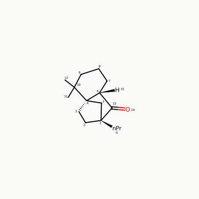 CCC[C@@]12CC[C@@]3(C1)[C@H](CCCC3(C)C)C2=O